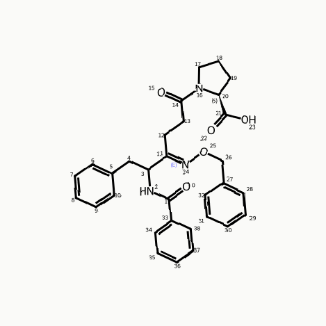 O=C(NC(Cc1ccccc1)/C(CCC(=O)N1CCC[C@H]1C(=O)O)=N/OCc1ccccc1)c1ccccc1